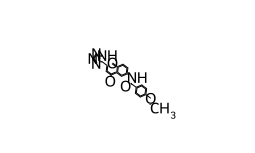 CCOc1ccc(C(=O)Nc2ccc3oc(-c4nnn[nH]4)cc(=O)c3c2)cc1